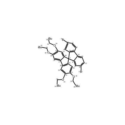 [B]c1ccc2c(c1)C1(c3cc([B])ccc3-2)c2cc(OCC(C)CC)c(OCC(C)CC)cc2-c2cc(OCC(C)CC)c(OCC(C)CC)cc21